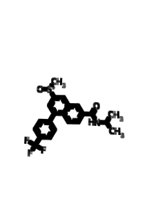 CC(C)NC(=O)c1ccc2c(-c3ccc(C(F)(F)F)cc3)cc([S+](C)[O-])cc2c1